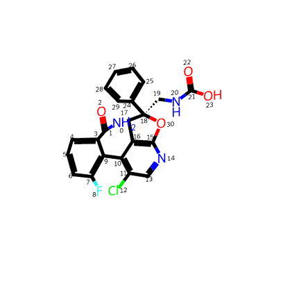 NC(=O)c1cccc(F)c1-c1c(Cl)cnc2c1C[C@@](CNC(=O)O)(c1ccccc1)O2